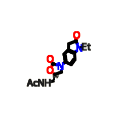 CCN1C(=O)Cc2cc(N3C[C@H](CNC(C)=O)OC3=O)ccc21